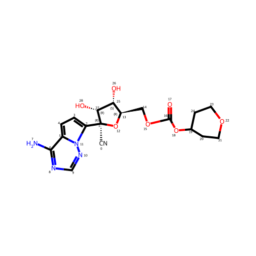 N#C[C@@]1(c2ccc3c(N)ncnn23)O[C@H](COC(=O)OC2CCOCC2)[C@@H](O)[C@H]1O